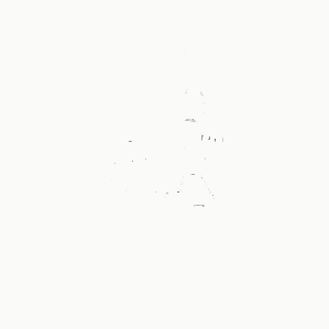 CC(F)(F)Oc1ccc(NC(=O)Cc2cc(OC[C@@](C)(F)C(F)(F)F)cc(OCC(F)(F)C(F)(F)F)n2)cc1